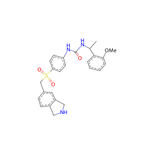 COc1ccccc1C(C)NC(=O)Nc1ccc(S(=O)(=O)Cc2ccc3c(c2)CNC3)cc1